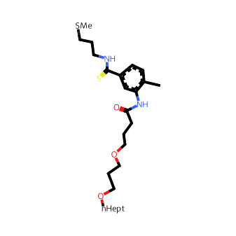 CCCCCCCOCCCOCCCC(=O)Nc1cc(C(=S)NCCCSC)ccc1C